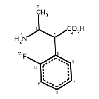 CC(N)C(C(=O)O)c1ccccc1F